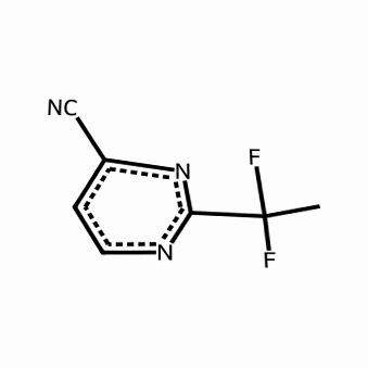 CC(F)(F)c1nccc(C#N)n1